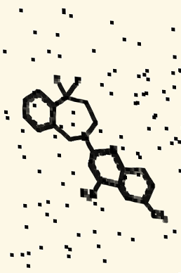 Cc1ccc2nc(N3CCC(F)(F)c4ccccc4C3)cc(N)c2c1